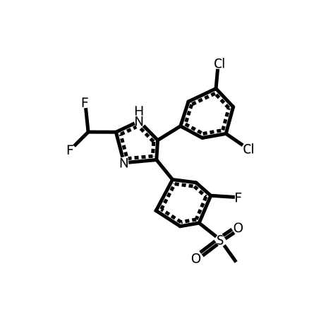 CS(=O)(=O)c1ccc(-c2nc(C(F)F)[nH]c2-c2cc(Cl)cc(Cl)c2)cc1F